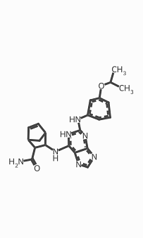 CC(C)Oc1cccc(Nc2nc3ncnc-3c(NC3C4C=CC(C4)C3C(N)=O)[nH]2)c1